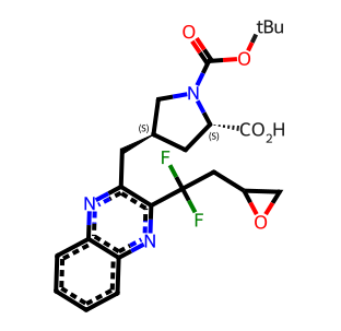 CC(C)(C)OC(=O)N1C[C@H](Cc2nc3ccccc3nc2C(F)(F)CC2CO2)C[C@H]1C(=O)O